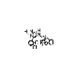 Cc1c(Cl)cccc1-c1cc(NCCC(Cc2ccccc2)[SH](=O)=O)nc(N)n1